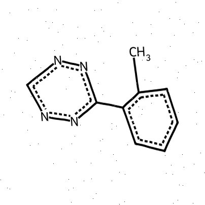 Cc1ccccc1-c1nncnn1